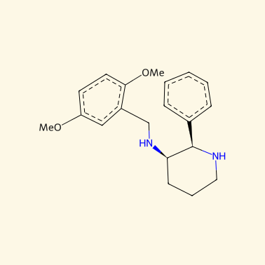 COc1ccc(OC)c(CN[C@@H]2CCCN[C@@H]2c2ccccc2)c1